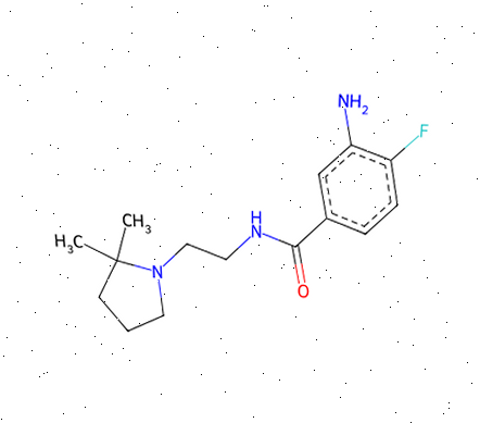 CC1(C)CCCN1CCNC(=O)c1ccc(F)c(N)c1